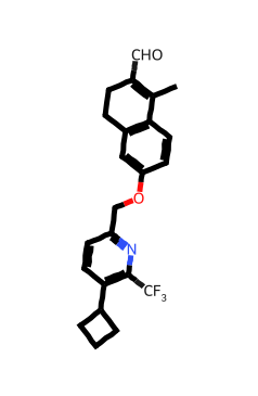 CC1=C(C=O)CCc2cc(OCc3ccc(C4CCC4)c(C(F)(F)F)n3)ccc21